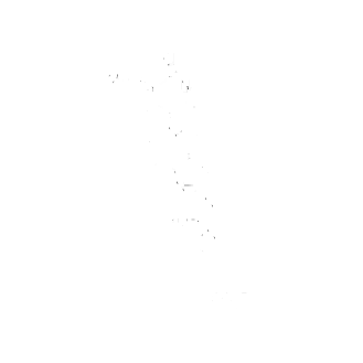 CCOC(=O)CCCNC(=O)Nc1nc2c(s1)CN(c1cnc(Cl)c(OC)c1)CC2